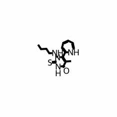 CCCCNn1c(C2=CC=CC=CN2)c(C)c(=O)[nH]c1=S